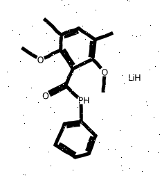 COc1c(C)cc(C)c(OC)c1C(=O)Pc1ccccc1.[LiH]